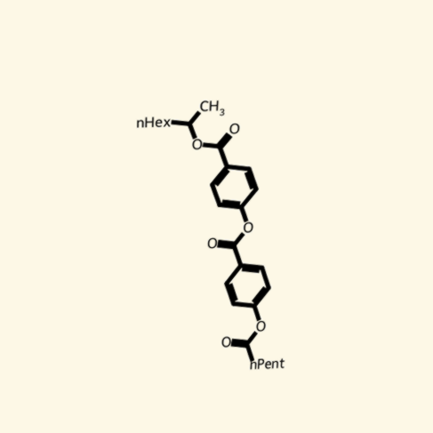 CCCCCCC(C)OC(=O)c1ccc(OC(=O)c2ccc(OC(=O)CCCCC)cc2)cc1